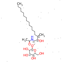 CCCCCCCCCCCCCC[C@@H](C)[C@@H](O)[C@H](CO[C@H]1OC(CO)[C@H](O)[C@H](O)C1O)NC(C)=O